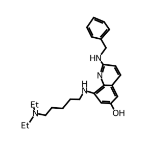 CCN(CC)CCCCCNc1cc(O)cc2ccc(NCc3ccccc3)nc12